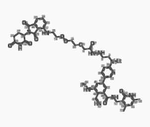 CCN(CCNNC(=O)COCCOOCCNc1cccc2c1C(=O)N(C1CCC(=O)NC1=O)C2=O)c1ccc(-c2cc(NC(C)C)c(C=N)c(C(=O)NCc3c(C)cc(C)[nH]c3=O)c2)cn1